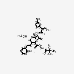 CC(C)(C)C(=O)OCOC(=O)C1=C(/C=C/c2cncnc2N)CS[C@H]2[C@H](NC(=O)/C(=N\O)c3csc(N)n3)C(=O)N12.Cl.Cl